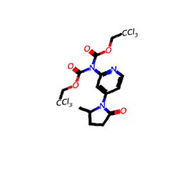 CC1CCC(=O)N1c1ccnc(N(C(=O)OCC(Cl)(Cl)Cl)C(=O)OCC(Cl)(Cl)Cl)c1